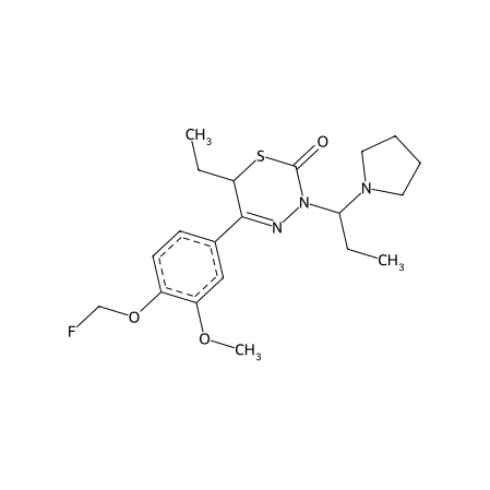 CCC1SC(=O)N(C(CC)N2CCCC2)N=C1c1ccc(OCF)c(OC)c1